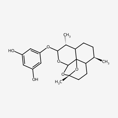 C[C@H]1C(Oc2cc(O)cc(O)c2)OC2O[C@@]3(C)CCC4[C@H](C)CCC1C24O3